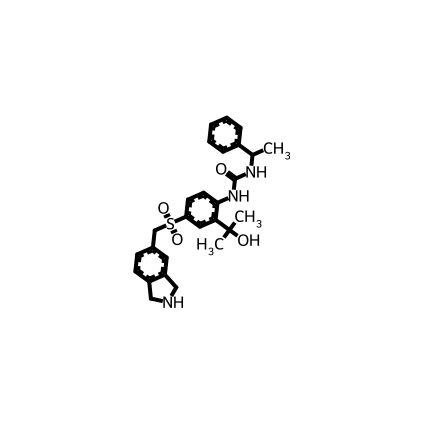 CC(NC(=O)Nc1ccc(S(=O)(=O)Cc2ccc3c(c2)CNC3)cc1C(C)(C)O)c1ccccc1